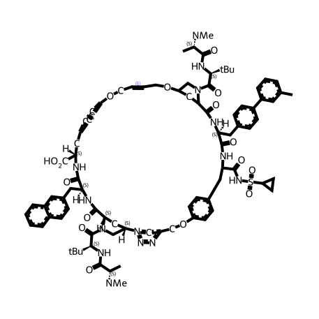 CN[C@@H](C)C(=O)N[C@H](C(=O)N1CC2CC1C(=O)N[C@@H](Cc1ccc(-c3cccc(C)c3)cc1)C(=O)NC(C(=O)NS(=O)(=O)C1CC1)Cc1ccc(cc1)OCc1cn(nn1)[C@H]1C[C@@H](C(=O)N[C@@H](Cc3ccc4ccccc4c3)C(=O)N[C@H](C(=O)O)Cc3ccc(cc3)OC/C=C/CO2)N(C(=O)[C@@H](NC(=O)[C@H](C)NC)C(C)(C)C)C1)C(C)(C)C